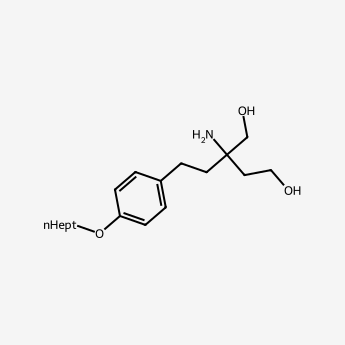 CCCCCCCOc1ccc(CCC(N)(CO)CCO)cc1